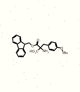 CC(C)(C)Oc1ccc(CC(N)(C(=O)O)C(=O)OCC2c3ccccc3-c3ccccc32)cc1